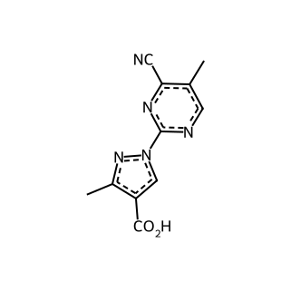 Cc1cnc(-n2cc(C(=O)O)c(C)n2)nc1C#N